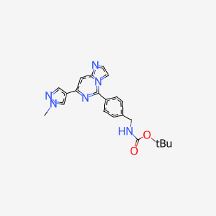 Cn1cc(-c2cc3nccn3c(-c3ccc(CNC(=O)OC(C)(C)C)cc3)n2)cn1